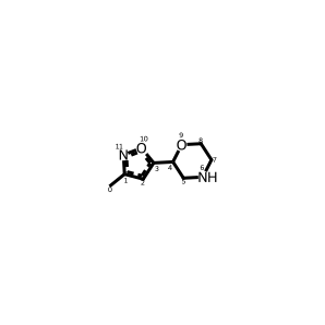 Cc1cc(C2CNCCO2)on1